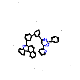 c1ccc(-c2nc(-c3cccc(-c4cccc(-c5nc6ccccc6c6c5ccc5ccccc56)c4)c3)cc(-c3ccccn3)n2)cc1